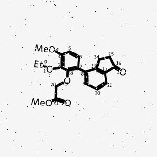 CCOc1c(OC)ccc(-c2cccc3c2CCC3=O)c1OCC(=O)OC